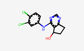 OC1CCc2ncnc(Nc3ccc(Cl)c(Cl)c3)c21